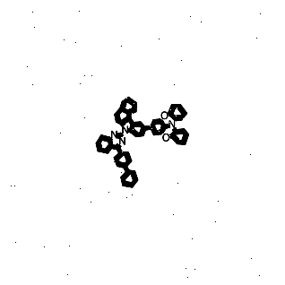 c1ccc(-c2ccc(-c3nc(-n4c5ccc(-c6cc7c8c(c6)Oc6ccccc6N8c6ccccc6O7)cc5c5c6ccccc6ccc54)nc4ccccc34)cc2)cc1